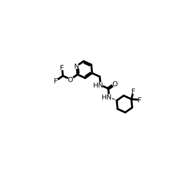 O=C(NCc1ccnc(OC(F)F)c1)N[C@H]1CCCC(F)(F)C1